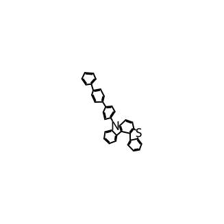 c1ccc(-c2ccc(-c3ccc(-n4c5ccccc5c5c6c(ccc54)sc4ccccc46)cc3)cc2)cc1